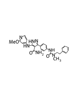 COc1cc(Nc2[nH]nc(-c3ccc(NC(=O)N(C)CCc4ccccc4)cc3)c2C(N)=O)ccn1